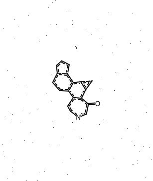 O=c1cnccc2c3ccc4cccc4c3c3cc3c12